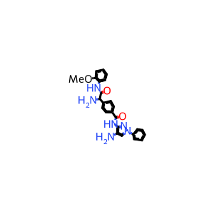 COc1ccccc1NC(=O)C(N)c1ccc(C(=O)Nc2nn(-c3ccccc3)cc2N)cc1